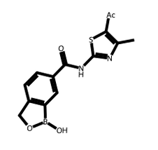 CC(=O)c1sc(NC(=O)c2ccc3c(c2)B(O)OC3)nc1C